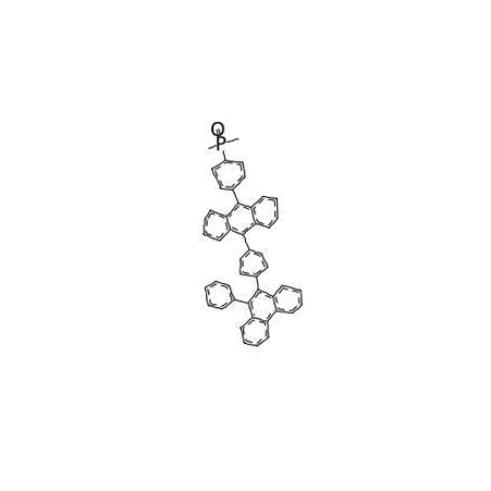 CP(C)(=O)c1ccc(-c2c3ccccc3c(-c3ccc(-c4c(-c5ccccc5)c5ccccc5c5ccccc45)cc3)c3ccccc23)cc1